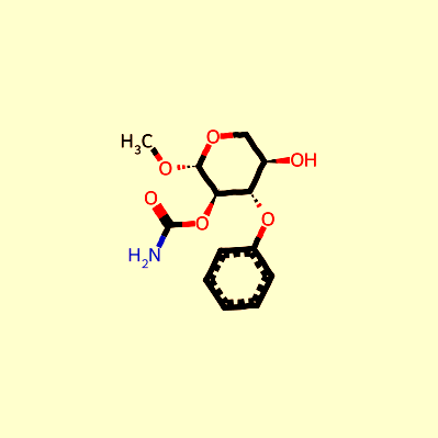 CO[C@@H]1OC[C@@H](O)[C@H](Oc2ccccc2)[C@H]1OC(N)=O